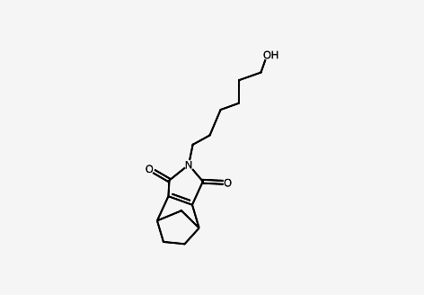 O=C1C2=C(C(=O)N1CCCCCCO)C1CCC2C1